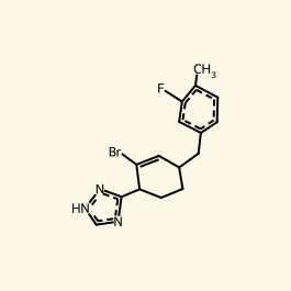 Cc1ccc(CC2C=C(Br)C(c3nc[nH]n3)CC2)cc1F